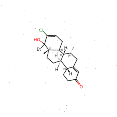 CCC1(O)C(Cl)=CC[C@H]2[C@H]3[C@H](CC[C@@]21C)[C@H]1CCC(=O)C=C1C[C@H]3C